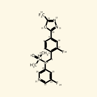 C[SH](C)(=O)N(Cc1ccc(-c2nnc(C(F)(F)F)o2)cc1F)c1cncc(F)c1